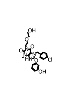 Cn1c2c(c(=O)n(CCOCCO)c1=O)N(Cc1ccc(Cl)cc1)C(Oc1cccc(O)c1)N2